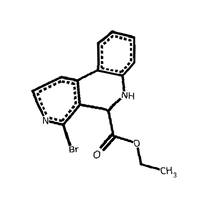 CCOC(=O)C1Nc2ccccc2-c2ccnc(Br)c21